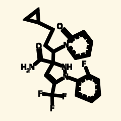 NC(=O)C1(C(CCC2CC2)n2ccccc2=O)C=C(C(F)(F)F)N(c2ccccc2F)N1